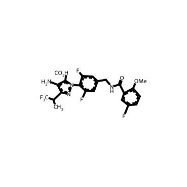 COc1ccc(F)cc1C(=O)NCc1cc(F)c(-n2nc(C(C)C(F)(F)F)c(N)c2C(=O)O)c(F)c1